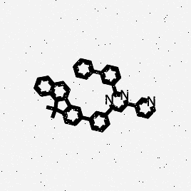 CC1(C)c2ccc(-c3cccc(-c4cc(-c5cccnc5)nc(-c5cccc(-c6ccccc6)c5)n4)c3)cc2-c2ccc3ccccc3c21